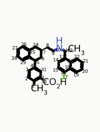 Cc1ccc(C2C[C@H](CCN[C@H](C)c3ccc(F)c4ccccc34)Cc3ccccc32)cc1C(=O)O